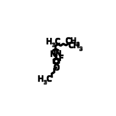 CCCCCOc1ccc(-c2ncc(CC(C)CCCC(C)C)cn2)c(F)c1